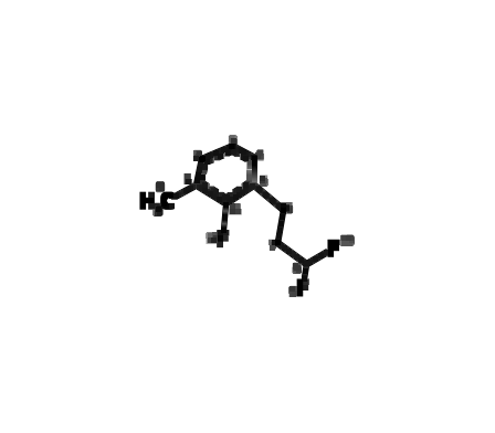 Cc1cccc([CH]CC(F)F)c1F